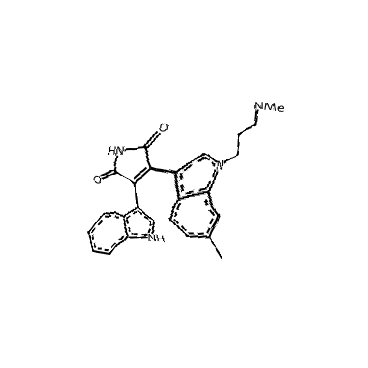 CNCCCn1cc(C2=C(c3c[nH]c4ccccc34)C(=O)NC2=O)c2ccc(C)cc21